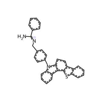 N/C(=N\Cc1ccc(-n2c3ccccc3c3c4sc5ccccc5c4ccc32)cc1)c1ccccc1